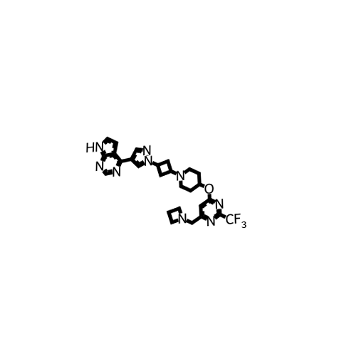 FC(F)(F)c1nc(CN2CCC2)cc(OC2CCN(C3CC(n4cc(-c5ncnc6[nH]ccc56)cn4)C3)CC2)n1